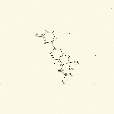 CC1(C)Oc2cc(-c3cccc(Cl)c3)ccc2C1NC(=O)O